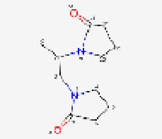 CC(CN1CCCC1=O)N1CCCC1=O